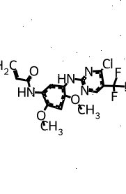 C=CC(=O)Nc1cc(Nc2ncc(C(F)(F)F)c(Cl)n2)c(OC)cc1OC